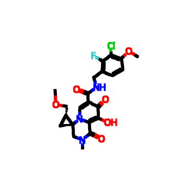 COC[C@H]1C[C@@]12CN(C)C(=O)c1c(O)c(=O)c(C(=O)NCc3ccc(OC)c(Cl)c3F)cn12